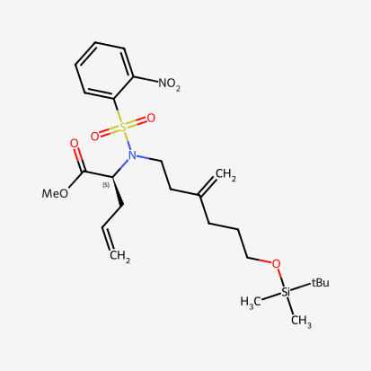 C=CC[C@@H](C(=O)OC)N(CCC(=C)CCCO[Si](C)(C)C(C)(C)C)S(=O)(=O)c1ccccc1[N+](=O)[O-]